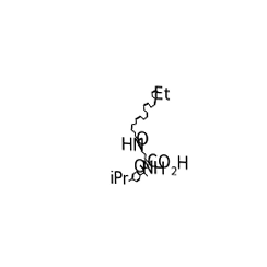 CC/C=C\C/C=C\C/C=C\C/C=C\C/C=C\C/C=C\CCC(=O)NCCCC[C@H](NC(=O)C(C)c1ccc(CC(C)C)cc1)C(=O)O